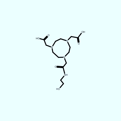 O=C(O)CN1CCN(CC(=O)O)CCN(CC(=O)NCCO)CC1